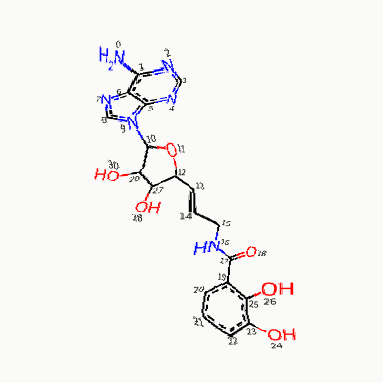 Nc1ncnc2c1ncn2C1OC(C=CCNC(=O)c2cccc(O)c2O)C(O)C1O